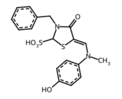 CN(C=C1SC(S(=O)(=O)O)N(Cc2ccccc2)C1=O)c1ccc(O)cc1